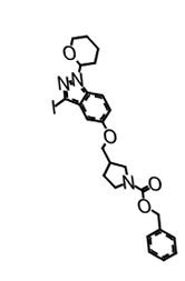 O=C(OCc1ccccc1)N1CCC(COc2ccc3c(c2)c(I)nn3C2CCCCO2)C1